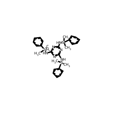 C[Si](C)(Nc1nc(N[Si](C)(C)c2ccccc2)nc(N[Si](C)(C)c2ccccc2)n1)c1ccccc1